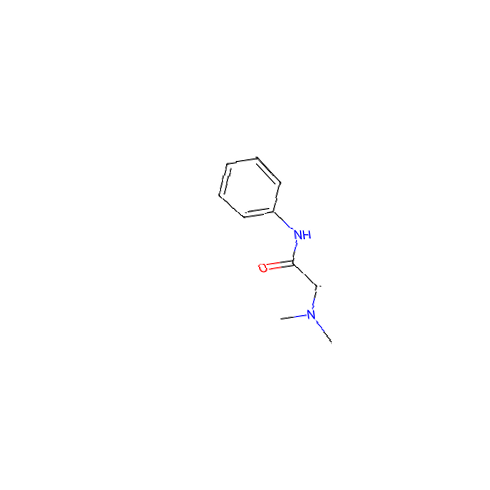 CN(C)[CH]C(=O)Nc1ccccc1